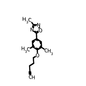 C#CCCCOc1c(C)cc(-c2nc(C)no2)cc1C